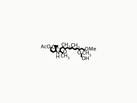 COC(C)CC(/C=C/C(C)=C/CC1OC(C)C(NC(/C=C\C(C)OC(C)=O)=C2CC2)CC1C)OCCO